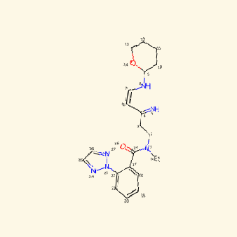 CCN(CCC(=N)/C=C\NC1CCCCO1)C(=O)c1ccccc1-n1nccn1